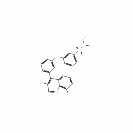 CCN(C)S(=O)(=O)c1cccc(Oc2cccc(-c3c(C)cnc4c(Cl)cccc34)c2)c1